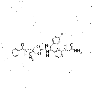 CC1(CNC(=O)c2ccccc2)COC(c2nc(-c3ccc(F)cc3)c(-c3ccnc(NCC(N)=O)n3)[nH]2)OC1